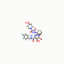 O=C(NC12CCC(CC1)Cn1c2nc(C(=O)NCc2ccc(F)cc2)c(O)c1=O)C(=O)N1CCC(O)CC1